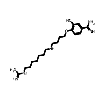 N#Cc1cc(C(=N)N)ccc1OCCCCNCCCCCCCNC(=N)N